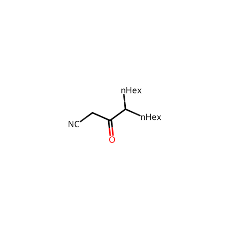 CCCCCCC(CCCCCC)C(=O)CC#N